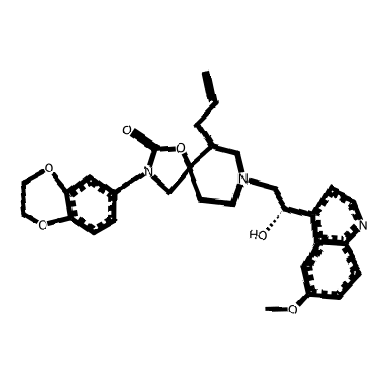 C=CCC1CN(C[C@@H](O)c2ccnc3ccc(OC)cc23)CCC12CN(c1ccc3c(c1)OCCO3)C(=O)O2